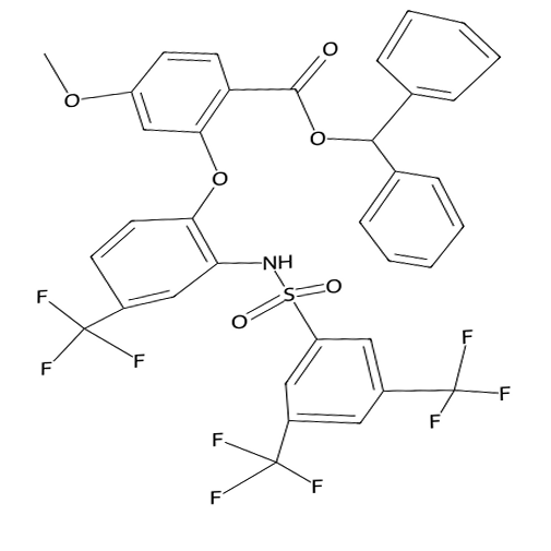 COc1ccc(C(=O)OC(c2ccccc2)c2ccccc2)c(Oc2ccc(C(F)(F)F)cc2NS(=O)(=O)c2cc(C(F)(F)F)cc(C(F)(F)F)c2)c1